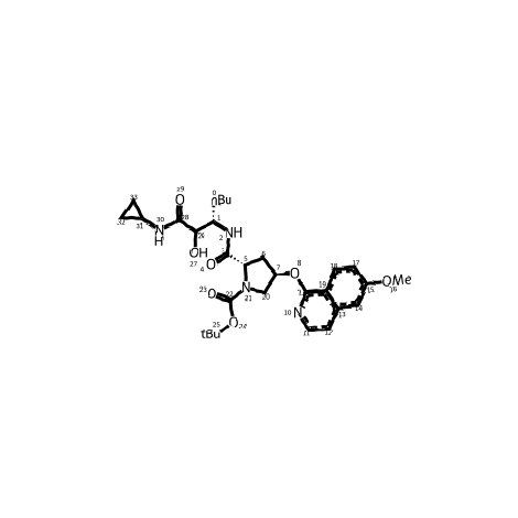 CCCC[C@H](NC(=O)[C@@H]1C[C@@H](Oc2nccc3cc(OC)ccc23)CN1C(=O)OC(C)(C)C)C(O)C(=O)NC1CC1